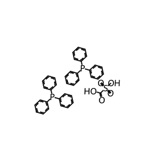 O=C(O)S(=O)(=O)O.c1ccc(P(c2ccccc2)c2ccccc2)cc1.c1ccc(P(c2ccccc2)c2ccccc2)cc1